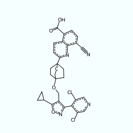 N#Cc1ccc(C(=O)O)c2ccc(C34CCC(OCc5c(-c6c(Cl)cncc6Cl)noc5C5CC5)(CC3)CC4)nc12